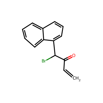 C=CC(=O)C(Br)c1cccc2ccccc12